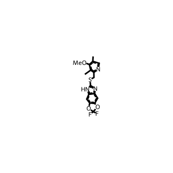 COc1c(C)cnc(CSc2nc3cc4c(cc3[nH]2)OC(F)(F)O4)c1C